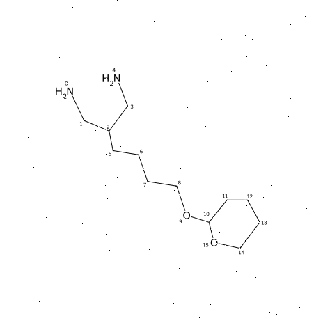 NCC(CN)CCCCOC1CCCCO1